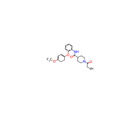 CC(C)CC(=O)N1CCC(C(=O)Nc2ccccc2OC2=CC=C(OC(F)(F)F)CC2)CC1